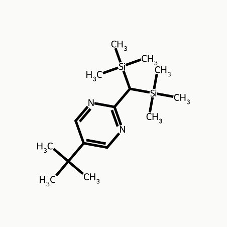 CC(C)(C)c1cnc(C([Si](C)(C)C)[Si](C)(C)C)nc1